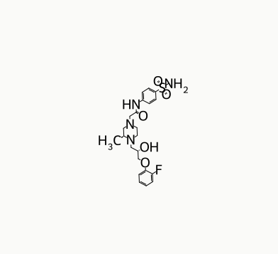 C[C@H]1CN(CC(=O)Nc2ccc(S(N)(=O)=O)cc2)CCN1C[C@H](O)COc1ccccc1F